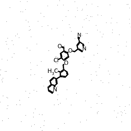 Cc1c(COc2cc(OCc3cncc(C#N)c3)c(C=O)cc2Cl)cccc1-c1ccc2cccnc2c1